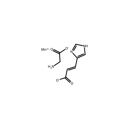 NCC(=O)[O-].O=C([O-])C=Cc1c[nH]cn1.[Mn+2]